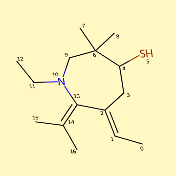 C/C=C1\CC(S)C(C)(C)CN(CC)C1=C(C)C